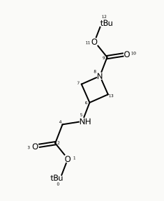 CC(C)(C)OC(=O)CNC1CN(C(=O)OC(C)(C)C)C1